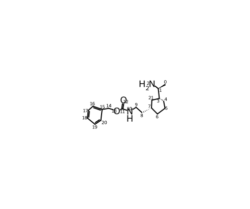 C[C@H](N)[C@@H]1CCC[C@H](CCNC(=O)OCc2ccccc2)C1